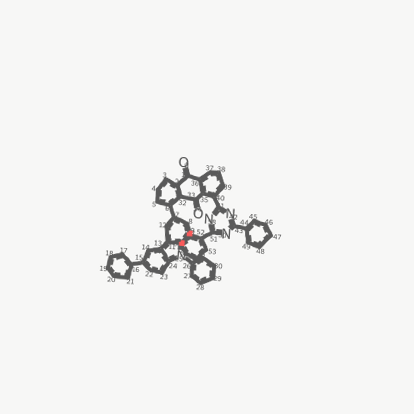 O=C1c2cccc(-c3ccc4c(c3)c3cc(-c5ccccc5)ccc3n4-c3ccccc3)c2C(=O)c2c1cccc2-c1nc(-c2ccccc2)nc(-c2ccccc2)n1